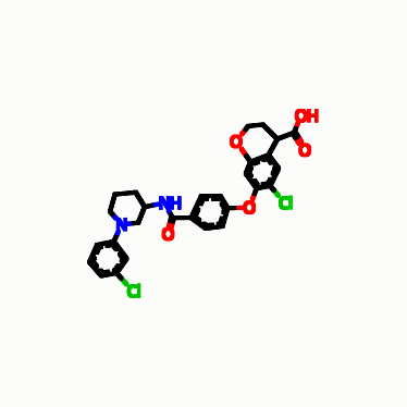 O=C(NC1CCCN(c2cccc(Cl)c2)C1)c1ccc(Oc2cc3c(cc2Cl)C(C(=O)O)CCO3)cc1